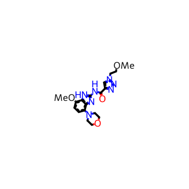 COCCn1cc(C(=O)Nc2nc3c(N4CCOCC4)ccc(OC)c3[nH]2)nn1